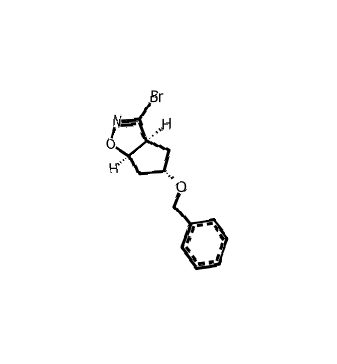 BrC1=NO[C@@H]2C[C@@H](OCc3ccccc3)C[C@H]12